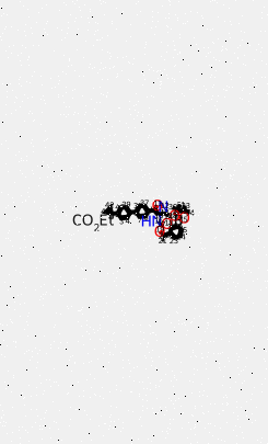 CCOC(=O)C1(c2ccc(-c3ccc(-c4onc(C)c4NC(=O)O[C@H](C)c4cccc(B5OC(C)(C)C(C)(C)O5)c4)cc3)cc2)CC1